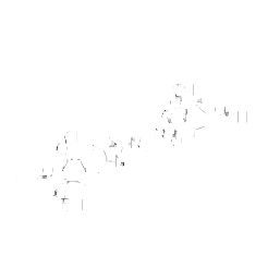 COc1ccc(S(=O)(=O)N2CCN(c3nc(Cc4cc(OC)c(OC)c(OC)c4)cs3)CC2)c(OC)c1